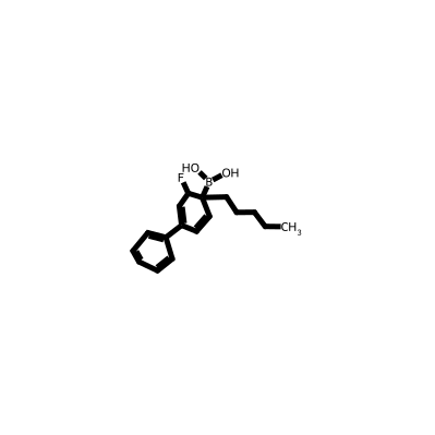 CCCCCC1(B(O)O)C=CC(c2ccccc2)=CC1F